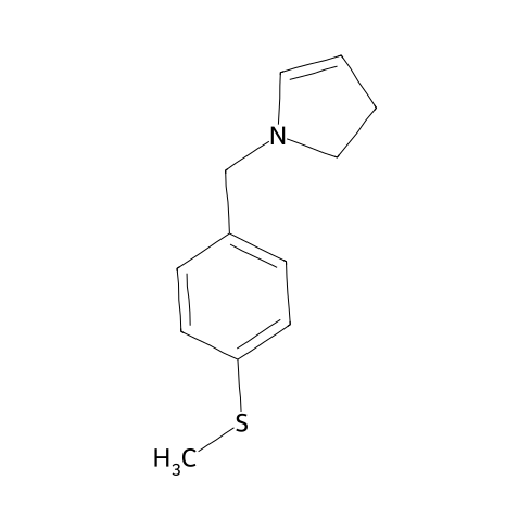 CSc1ccc(CN2C=CCC2)cc1